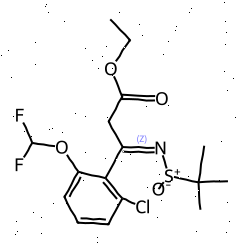 CCOC(=O)C/C(=N/[S+]([O-])C(C)(C)C)c1c(Cl)cccc1OC(F)F